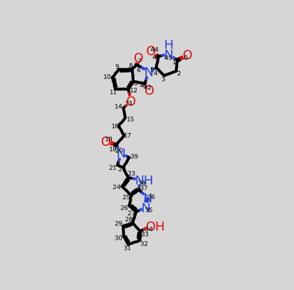 O=C1CCC(N2C(=O)c3cccc(OCCCCC(=O)N4CC(c5cc6cc(-c7ccccc7O)nnc6[nH]5)C4)c3C2=O)C(=O)N1